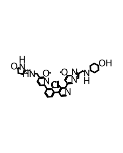 COc1nc(-c2cccc(-c3ccnc(-c4cc(OC)c5nc(CN[C@H]6CC[C@@H](O)CC6)cn5c4)c3Cl)c2Cl)ccc1CNC[C@H]1CCC(=O)N1